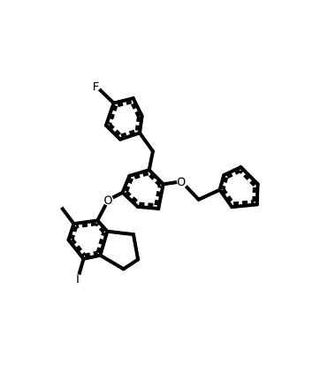 Cc1cc(I)c2c(c1Oc1ccc(OCc3ccccc3)c(Cc3ccc(F)cc3)c1)CCC2